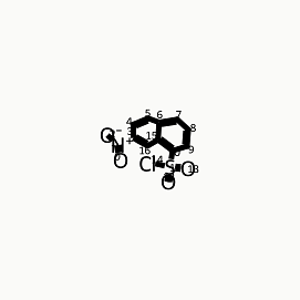 O=[N+]([O-])c1ccc2cccc(S(=O)(=O)Cl)c2c1